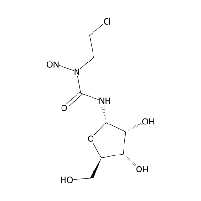 O=NN(CCCl)C(=O)N[C@H]1O[C@H](CO)[C@@H](O)[C@H]1O